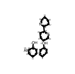 Oc1ccccc1.Oc1ccccc1.[AlH3].c1ccc(-c2ccccn2)nc1